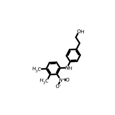 Cc1ccc(Nc2ccc(CCO)cc2)c([N+](=O)[O-])c1C